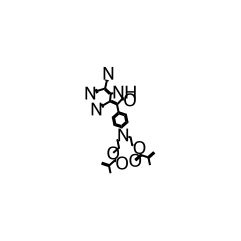 C=C(C)C(=O)OCCN(CCOC(=O)C(=C)C)c1ccc(C2=C(C#N)C(=C(C#N)C#N)NC2=O)cc1